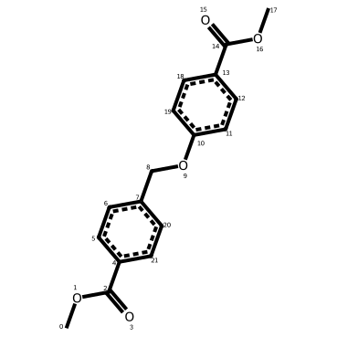 COC(=O)c1ccc(COc2ccc(C(=O)OC)cc2)cc1